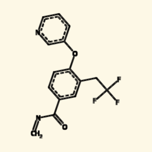 C=NC(=O)c1ccc(Oc2cccnc2)c(CC(F)(F)F)c1